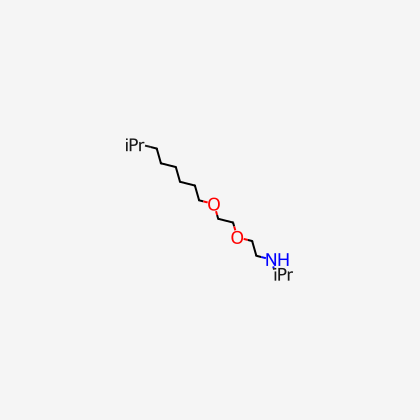 CC(C)CCCCCCOCCOCCNC(C)C